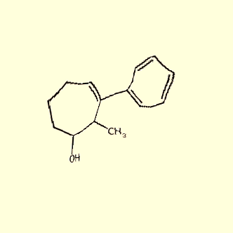 CC1C(c2ccccc2)=CCCCC1O